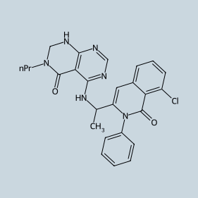 CCCN1CNc2ncnc(NC(C)c3cc4cccc(Cl)c4c(=O)n3-c3ccccc3)c2C1=O